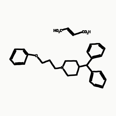 O=C(O)/C=C/C(=O)O.c1ccc(OCCCN2CCC(C(c3ccccc3)c3ccccc3)CC2)cc1